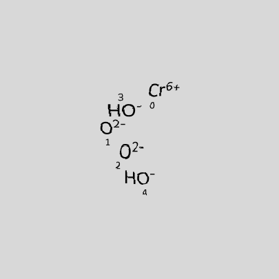 [Cr+6].[O-2].[O-2].[OH-].[OH-]